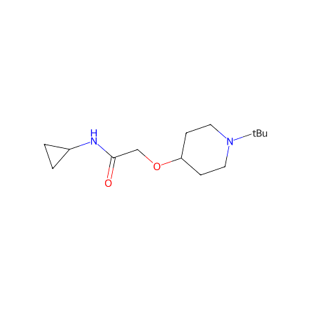 CC(C)(C)N1CCC(OCC(=O)NC2CC2)CC1